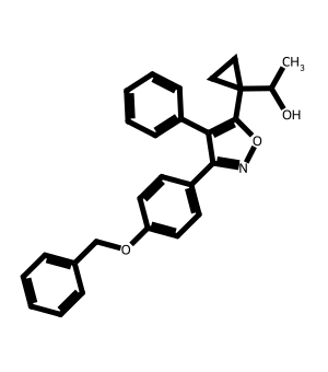 CC(O)C1(c2onc(-c3ccc(OCc4ccccc4)cc3)c2-c2ccccc2)CC1